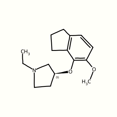 CCN1CC[C@H](Oc2c(OC)ccc3c2CCC3)C1